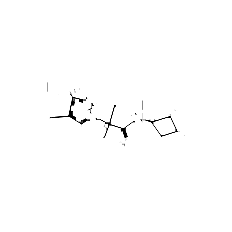 Cc1cn(C(C)(C)C(=O)NC2CCC2)nc1C(F)(F)F